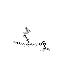 COc1ncc(-c2ccc3nccc(-c4ccc(COC(=O)OCCSSCC(NC(=O)CCC(=O)NCc5cc(C(=O)NCC(=O)N6CC(F)(F)C[C@H]6C#N)ccn5)C(=O)NCCNC(=O)CCCc5ccc(C)cc5)nc4)c3c2)cc1N